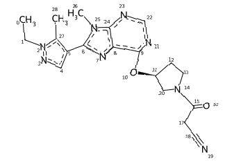 CCn1ncc(-c2nc3c(O[C@H]4CCN(C(=O)CC#N)C4)ncnc3n2C)c1C